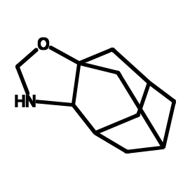 C1NC2C3CC4CC(C3)CC2(C4)O1